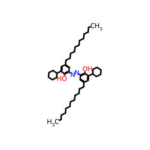 CCCCCCCCCCCCc1cc(/N=N/c2cc(CCCCCCCCCCCC)cc(C3CCCCC3)c2O)c(O)c(C2CCCCC2)c1